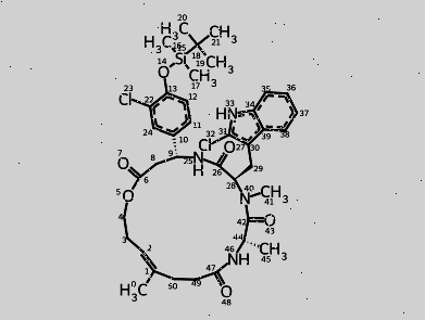 C/C1=C\CCOC(=O)C[C@H](c2ccc(O[Si](C)(C)C(C)(C)C)c(Cl)c2)NC(=O)[C@@H](Cc2c(Cl)[nH]c3ccccc23)N(C)C(=O)[C@H](C)NC(=O)CC1